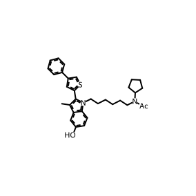 CC(=O)N(CCCCCCn1c(-c2cc(-c3ccccc3)cs2)c(C)c2cc(O)ccc21)C1CCCC1